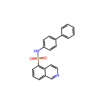 O=S(=O)(Nc1ccc(-c2ccccc2)cc1)c1cccc2cnccc12